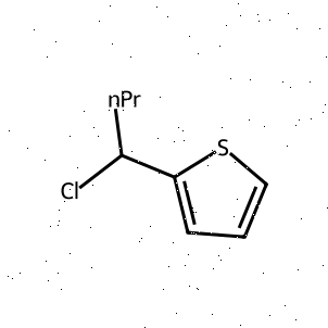 CCCC(Cl)c1cccs1